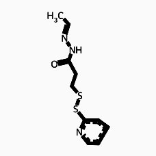 C/C=N/NC(=O)CCSSc1ccccn1